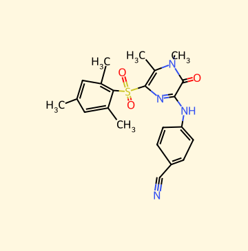 Cc1cc(C)c(S(=O)(=O)c2nc(Nc3ccc(C#N)cc3)c(=O)n(C)c2C)c(C)c1